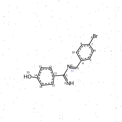 N=C(/N=C/c1ccc(Br)cc1)c1ccc(O)cc1